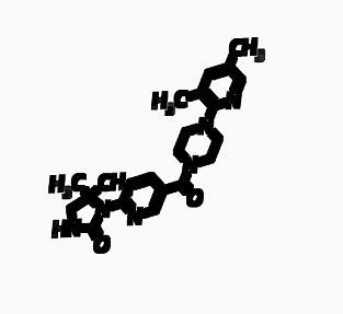 Cc1cnc(N2CCN(C(=O)c3ccc(N4C(=O)NCC4(C)C)nc3)CC2)c(C)c1